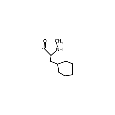 CN[C@H]([C]=O)CC1CCCCC1